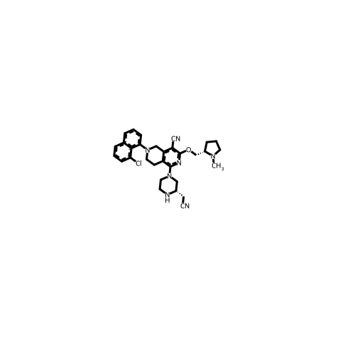 CN1CCC[C@H]1COc1nc(N2CCN[C@@H](CC#N)C2)c2c(c1C#N)CN(c1cccc3cccc(Cl)c13)CC2